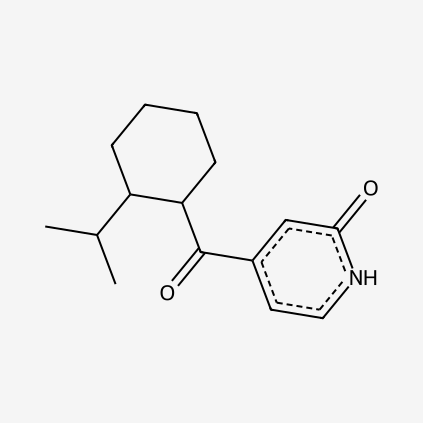 CC(C)C1CCCCC1C(=O)c1cc[nH]c(=O)c1